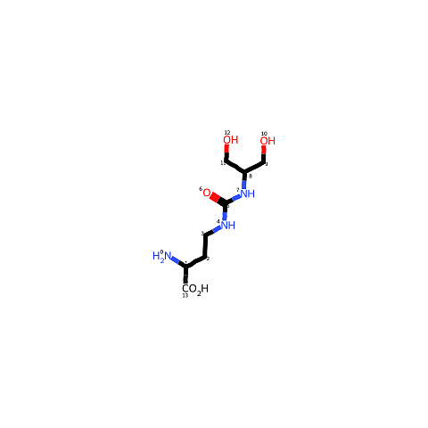 NC(CCNC(=O)NC(CO)CO)C(=O)O